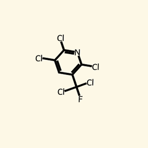 FC(Cl)(Cl)c1cc(Cl)c(Cl)nc1Cl